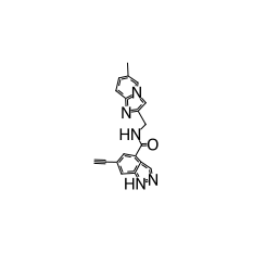 C#Cc1cc(C(=O)NCc2cn3cc(C)ccc3n2)c2cn[nH]c2c1